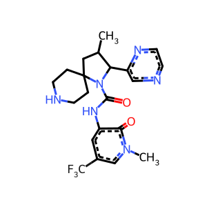 CC1CC2(CCNCC2)N(C(=O)Nc2cc(C(F)(F)F)cn(C)c2=O)C1c1cnccn1